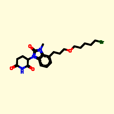 Cn1c(=O)n(C2CCC(=O)NC2=O)c2cccc(CCCOCCCCCBr)c21